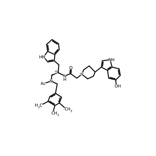 CC(=O)N(Cc1cc(C)c(C)c(C)c1)C[C@@H](Cc1c[nH]c2ccccc12)NC(=O)CN1CCC(c2c[nH]c3ccc(O)cc23)CC1